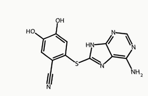 N#Cc1cc(O)c(O)cc1Sc1nc2c(N)ncnc2[nH]1